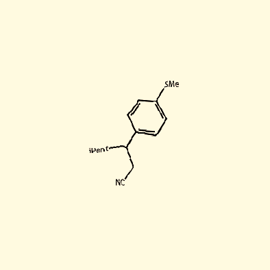 CCCC(C)C(CC#N)c1ccc(SC)cc1